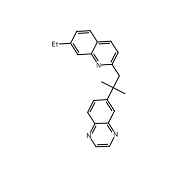 CCc1ccc2ccc(CC(C)(C)c3ccc4nccnc4c3)nc2c1